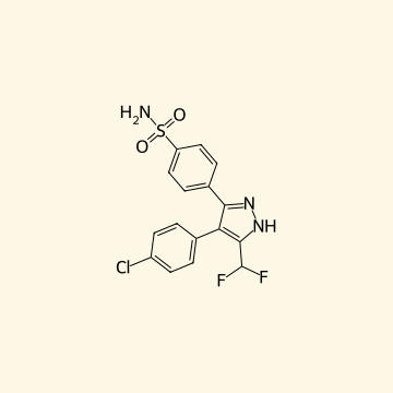 NS(=O)(=O)c1ccc(-c2n[nH]c(C(F)F)c2-c2ccc(Cl)cc2)cc1